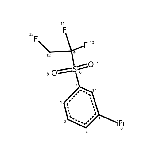 CC(C)c1cccc(S(=O)(=O)C(F)(F)CF)c1